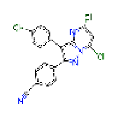 N#Cc1ccc(-c2nn3c(Cl)cc(Cl)nc3c2-c2ccc(Cl)cc2)cc1